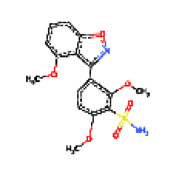 COc1ccc(-c2noc3cccc(OC)c23)c(OC)c1S(N)(=O)=O